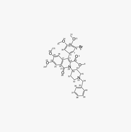 COC(=O)c1c(-c2cc(Br)c(OC)c(OC)c2)c2cc(OC)c(OC)cc2c(=O)n1C1CCN(Cc2ccccc2)CC1